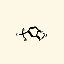 BrC(Br)(Br)c1ccc2nonc2c1